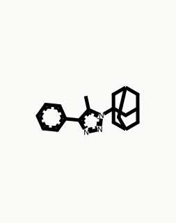 Cc1c(-c2ccccc2)nnn1C12CC3CC(CC(C3)C1)C2